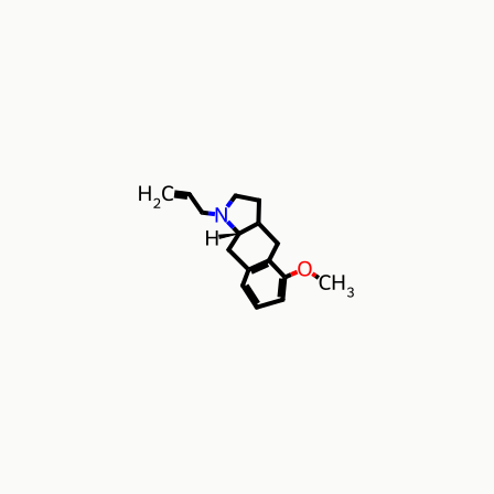 C=CCN1CCC2Cc3c(cccc3OC)C[C@@H]21